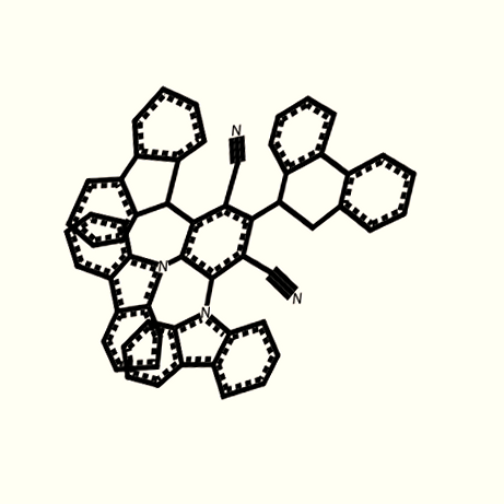 N#Cc1c(C2Cc3ccccc3-c3ccccc32)c(C#N)c(-n2c3ccccc3c3ccccc32)c(-n2c3ccccc3c3ccccc32)c1C1c2ccccc2-c2ccccc21